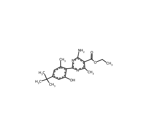 CCOC(=O)c1c(C)nc(-c2c(C)cc(C(C)(C)C)cc2O)nc1N